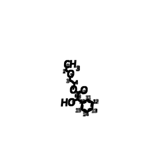 CCOCCOC(=O)C(O)c1ccccc1